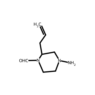 C=CCC1CN(N)CCN1C=O